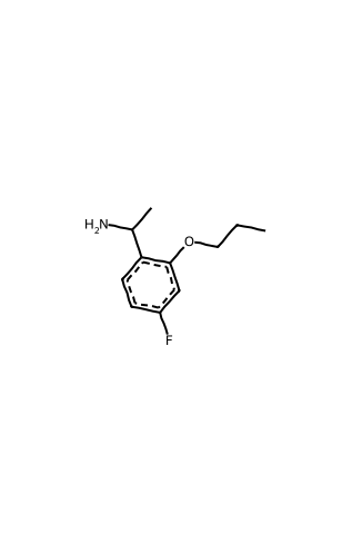 CCCOc1cc(F)ccc1C(C)N